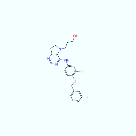 OCCCN1CCc2ncnc(Nc3ccc(OCc4cccc(F)c4)c(Cl)c3)c21